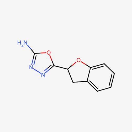 Nc1nnc(C2Cc3ccccc3O2)o1